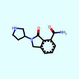 NC(=O)c1cccc2c1C(=O)N(C1CCNC1)C2